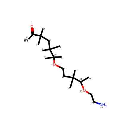 CC(C)C(=O)C(C)(C)CC(C)(C)C(C)(C)OCCC(C)(C)C(C)OCCN